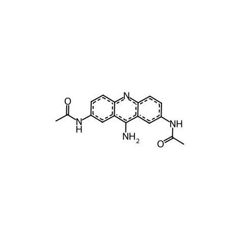 CC(=O)Nc1ccc2nc3ccc(NC(C)=O)cc3c(N)c2c1